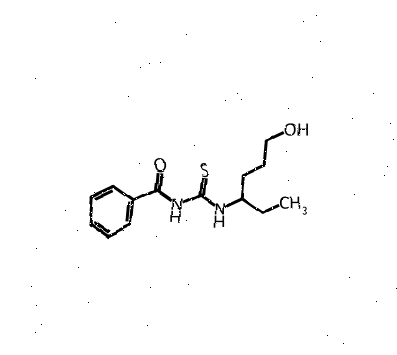 CCC(CCCO)NC(=S)NC(=O)c1ccccc1